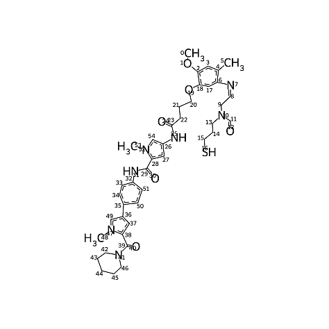 COc1cc(C)c(/N=C\CN(C=O)CCCS)cc1OCCCC(=O)Nc1cc(C(=O)Nc2ccc(-c3cc(C(=O)N4CCCCC4)n(C)c3)cc2)n(C)c1